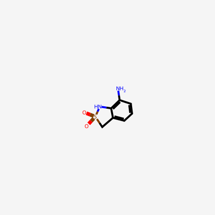 Nc1cccc2c1NS(=O)(=O)C2